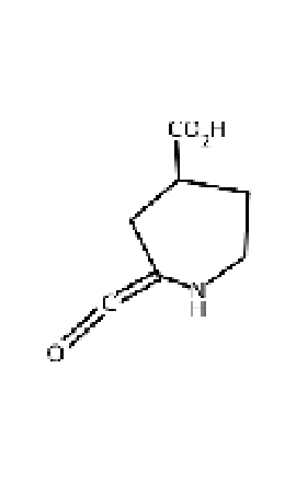 O=C=C1CC(C(=O)O)CCN1